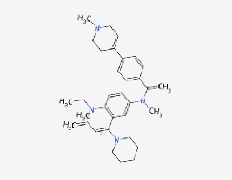 C=C/C=C(\c1cc(N(C)C(=C)c2ccc(C3=CCN(C)CC3)cc2)ccc1N(C)CC)N1CCCCC1